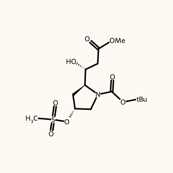 COC(=O)C[C@@H](O)[C@@H]1C[C@@H](OS(C)(=O)=O)CN1C(=O)OC(C)(C)C